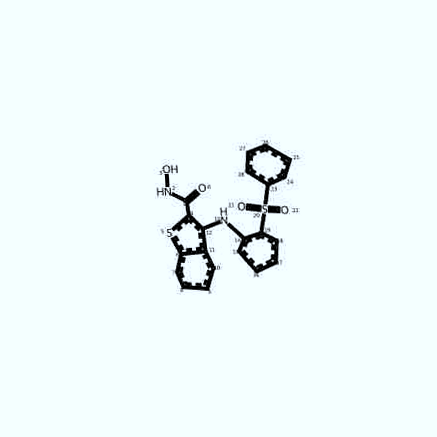 O=C(NO)c1sc2ccccc2c1Nc1ccccc1S(=O)(=O)c1ccccc1